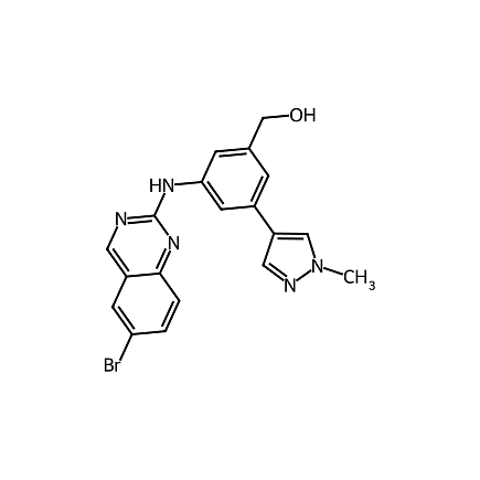 Cn1cc(-c2cc(CO)cc(Nc3ncc4cc(Br)ccc4n3)c2)cn1